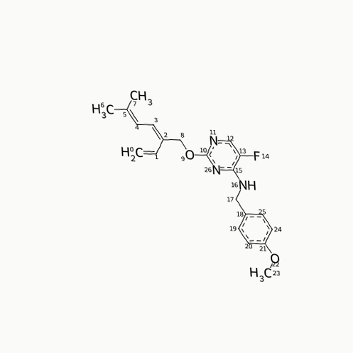 C=C/C(=C\C=C(C)C)COc1ncc(F)c(NCc2ccc(OC)cc2)n1